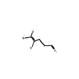 O=CCCC(Br)=C(Br)Br